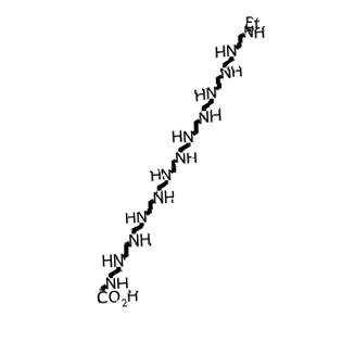 CCNCCNCCNCCNCCNCCNCCNCCNCCNCCNCCNCCNCCNCC(=O)O